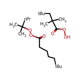 CC(C)(C)CC(C)(C)C(=O)OO.CCCC(C)(C)OOC(=O)CCCCC(C)(C)C